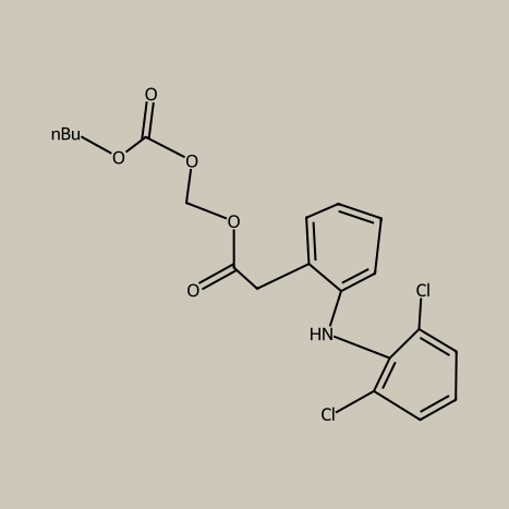 CCCCOC(=O)OCOC(=O)Cc1ccccc1Nc1c(Cl)cccc1Cl